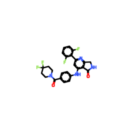 O=C1NCc2nc(-c3c(F)cccc3F)cc(Nc3ccc(C(=O)N4CCC(F)(F)CC4)cc3)c21